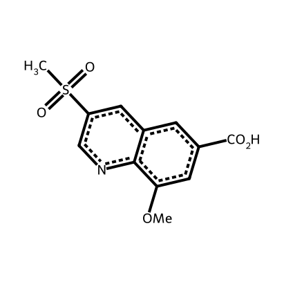 COc1cc(C(=O)O)cc2cc(S(C)(=O)=O)cnc12